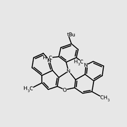 Cc1cc(C(C)(C)C)cc(C)c1N1c2c(cc(C)c3cccnc23)Oc2cc(C)c3cccnc3c21